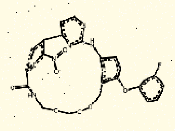 O=C1NCCCCOCc2cc(ccc2Oc2cccc(F)c2)Nc2nccc(n2)-c2ccc1cc2[N+](=O)[O-]